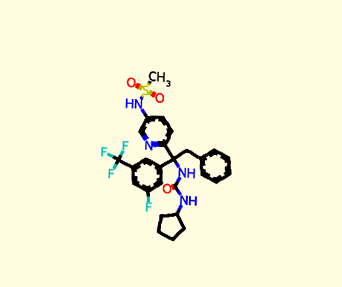 CS(=O)(=O)Nc1ccc(C(Cc2ccccc2)(NC(=O)NC2CCCC2)c2cc(F)cc(C(F)(F)F)c2)nc1